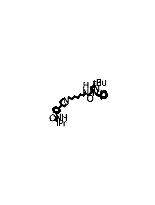 CC(C)C(=O)Nc1cccc(C2CCN(CCCCCCNC(=O)c3cc(C(C)(C)C)nn3Cc3ccccc3)CC2)c1